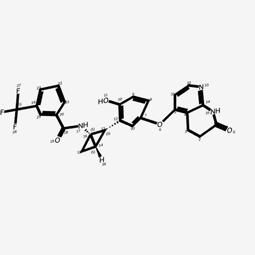 O=C1CCc2c(Oc3ccc(O)c([C@@H]4[C@@H]5C[C@@]45NC(=O)c4cccc(C(F)(F)F)c4)c3)ccnc2N1